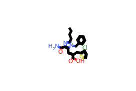 CCCCc1nc(C(N)=O)c(C=C(Cc2cccs2)C(=O)O)n1Cc1ccccc1Cl